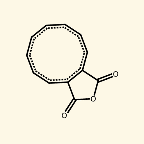 O=C1OC(=O)c2ccccccccc21